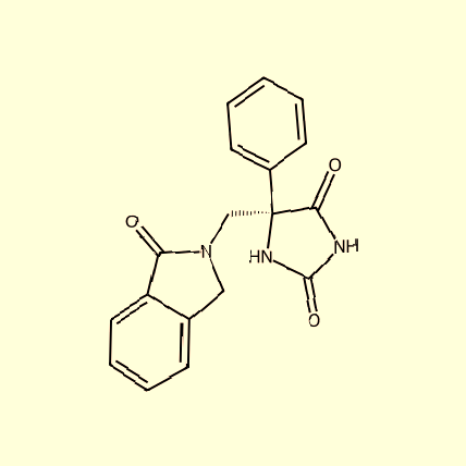 O=C1NC(=O)[C@](CN2Cc3ccccc3C2=O)(c2ccccc2)N1